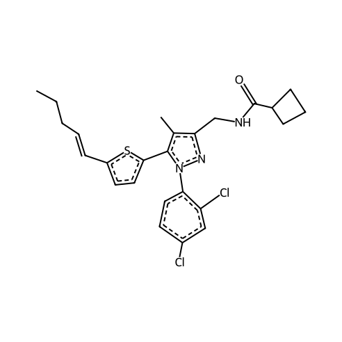 CCCC=Cc1ccc(-c2c(C)c(CNC(=O)C3CCC3)nn2-c2ccc(Cl)cc2Cl)s1